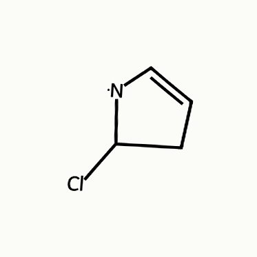 ClC1CC=C[N]1